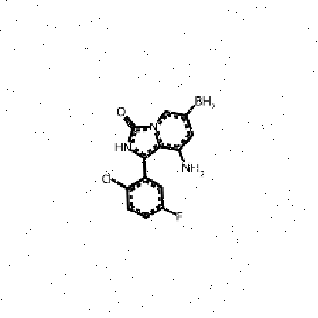 Bc1cc(N)c2c(-c3cc(F)ccc3Cl)[nH]c(=O)n2c1